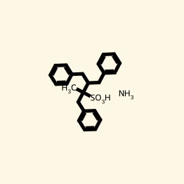 CC(Cc1ccccc1)(C(Cc1ccccc1)Cc1ccccc1)S(=O)(=O)O.N